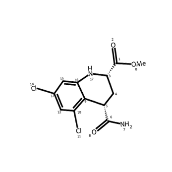 COC(=O)[C@@H]1C[C@H](C(N)=O)c2c(Cl)cc(Cl)cc2N1